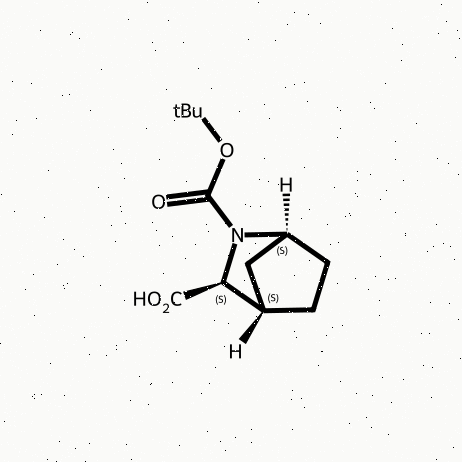 CC(C)(C)OC(=O)N1[C@H]2CC[C@@H](C2)[C@H]1C(=O)O